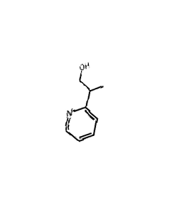 CC(CO)c1ccccn1